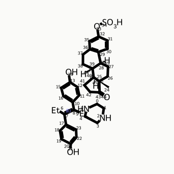 C1CNCCN1.CC/C(=C(/CC)c1ccc(O)cc1)c1ccc(O)cc1.C[C@]12CC[C@@H]3c4ccc(OS(=O)(=O)O)cc4CC[C@H]3[C@@H]1CCC2=O